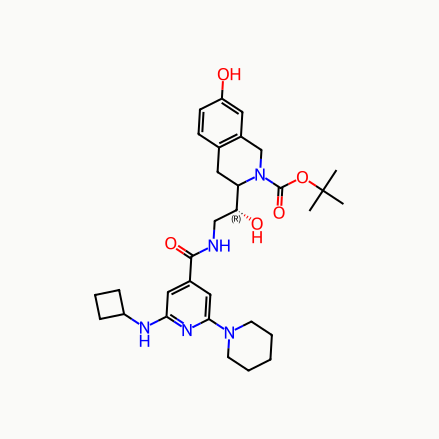 CC(C)(C)OC(=O)N1Cc2cc(O)ccc2CC1[C@H](O)CNC(=O)c1cc(NC2CCC2)nc(N2CCCCC2)c1